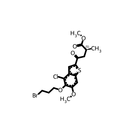 COC(=O)[C@@H](C)CC(=O)c1cc2c(Cl)c(OCCCBr)c(OC)cc2s1